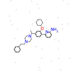 CC(c1ccc(-c2cccc(N)n2)c(OC2CCCCC2)c1)N1CCN(CCc2ccccc2)CC1